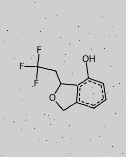 Oc1cccc2c1C(CC(F)(F)F)OC2